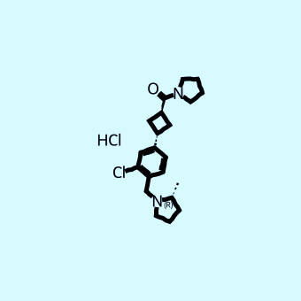 C[C@@H]1CCCN1Cc1ccc([C@H]2C[C@H](C(=O)N3CCCC3)C2)cc1Cl.Cl